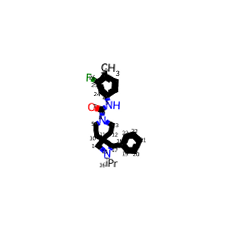 Cc1ccc(NC(=O)N2CCC3(CC2)CN(C(C)C)C3c2ccccc2)cc1F